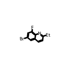 CCc1ccc2cc(Br)cc(F)c2n1